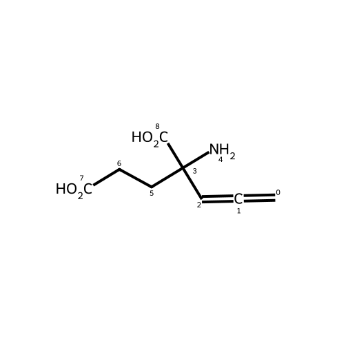 C=C=CC(N)(CCC(=O)O)C(=O)O